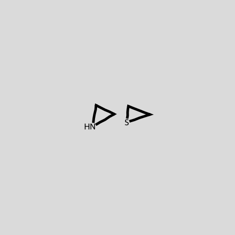 C1CN1.C1CS1